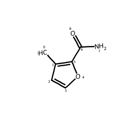 [CH]c1ccoc1C(N)=O